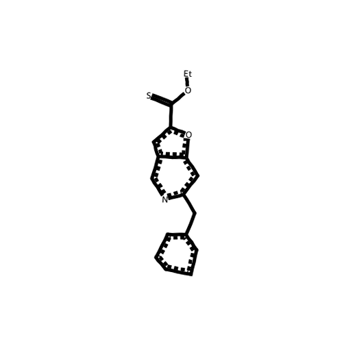 CCOC(=S)c1cc2cnc(Cc3ccccc3)cc2o1